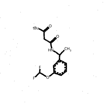 CC(NC(=O)CC(=O)C(C)(C)C)c1cccc(OC(F)F)c1